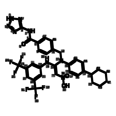 O=C(Nc1nn[nH]n1)c1ccc(CN(/C(=C\[N+](=O)O)Nc2cc(C(F)(F)F)cc(C(F)(F)F)c2)c2ccc(C3CCCCC3)cc2)cc1